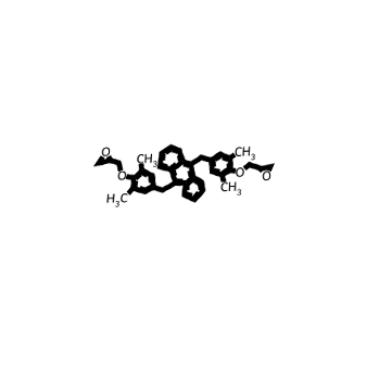 Cc1cc(Cc2c3ccccc3c(Cc3cc(C)c(OCC4CO4)c(C)c3)c3ccccc23)cc(C)c1OCC1CO1